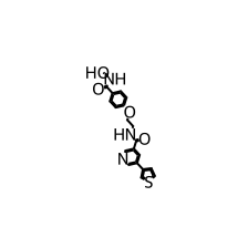 O=C(NO)c1ccc(OCCNC(=O)c2cncc(-c3ccsc3)c2)cc1